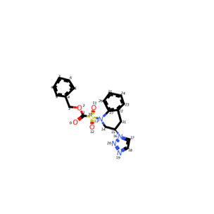 O=C(OCc1ccccc1)S(=O)(=O)N1C[C@H](n2ccnn2)Cc2ccccc21